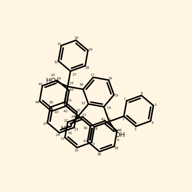 OC(c1ccccc1)(c1ccccc1)c1cccc(C(O)(c2ccccc2)c2ccccc2)c1C(O)(c1ccccc1)c1ccccc1